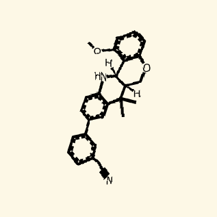 COc1cccc2c1[C@H]1Nc3ccc(-c4cccc(C#N)c4)cc3C(C)(C)[C@H]1CO2